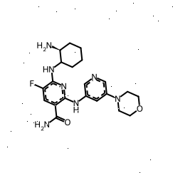 NC(=O)c1cc(F)c(NC2CCCC[C@@H]2N)nc1Nc1cncc(N2CCOCC2)c1